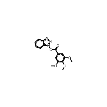 COc1cc(C(=O)On2nnc3ccccc32)cc(OC)c1OC